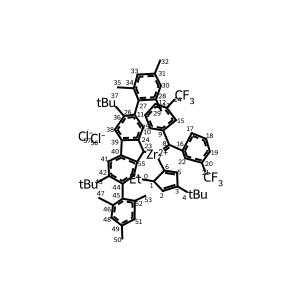 CCC1C=C(C(C)(C)C)C=[C]1[Zr+2](=[C](c1cccc(C(F)(F)F)c1)c1cccc(C(F)(F)F)c1)[CH]1c2cc(-c3c(C)cc(C)cc3C)c(C(C)(C)C)cc2-c2cc(C(C)(C)C)c(-c3c(C)cc(C)cc3C)cc21.[Cl-].[Cl-]